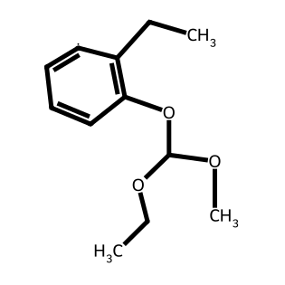 CCOC(OC)Oc1ccc[c]c1CC